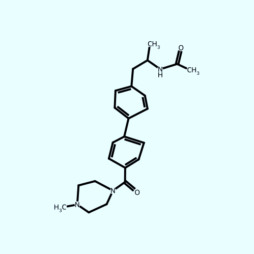 CC(=O)NC(C)Cc1ccc(-c2ccc(C(=O)N3CCN(C)CC3)cc2)cc1